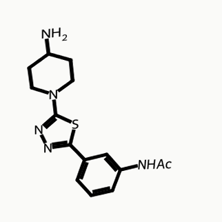 CC(=O)Nc1cccc(-c2nnc(N3CCC(N)CC3)s2)c1